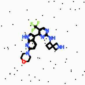 FC(F)(F)c1cnc(N[C@@H]2CCC23CNC3)nc1-c1c[nH]c2nc(N3CCOCC3)ccc12